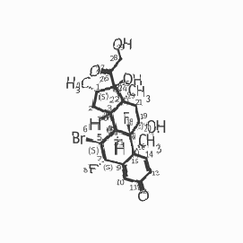 C[C@H]1C[C@H]2[C@@H]3[C@H](Br)[C@@H](F)C4=CC(=O)C=C[C@]4(C)[C@@]3(F)[C@@H](O)C[C@]2(C)[C@@]1(O)C(=O)CO